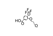 COCCCOc1cc(C(=O)O)ccc1OC(F)(F)F